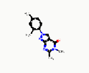 Cc1ccc(-n2cc3c(=O)n(C)c(C)nc3n2)c(C)c1